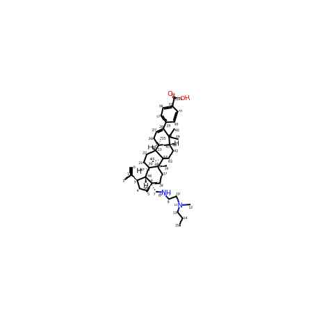 C=C(C)[C@@H]1CC[C@]2(CNCCN(C)CCC)CC[C@]3(C)[C@H](CC[C@@H]4[C@@]5(C)CC=C(c6ccc(C(=O)O)cc6)C(C)(C)[C@@H]5CC[C@]43C)[C@@H]12